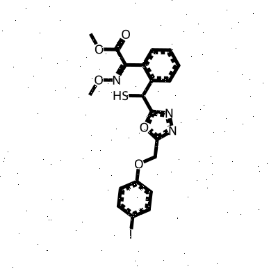 CON=C(C(=O)OC)c1ccccc1C(S)c1nnc(COc2ccc(I)cc2)o1